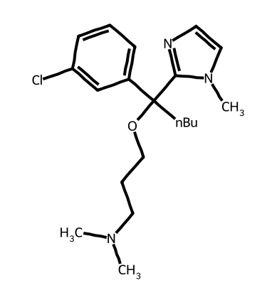 CCCCC(OCCCN(C)C)(c1cccc(Cl)c1)c1nccn1C